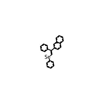 C([Se]c1ccccc1)=C(c1ccccc1)c1ccc2ccccc2c1